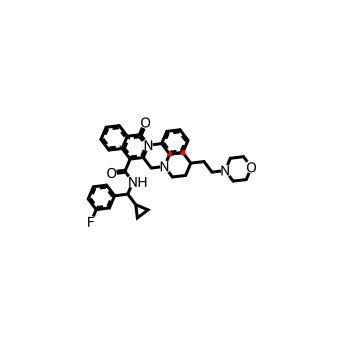 O=C(NC(c1cccc(F)c1)C1CC1)c1c(CN2CCC(CCN3CCOCC3)CC2)n(-c2ccccc2)c(=O)c2ccccc12